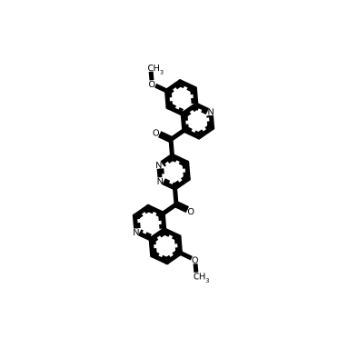 COc1ccc2nccc(C(=O)c3ccc(C(=O)c4ccnc5ccc(OC)cc45)nn3)c2c1